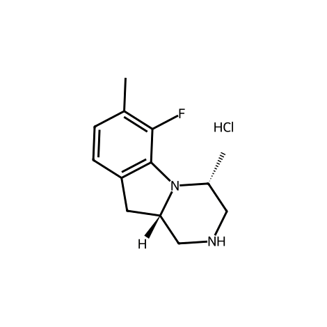 Cc1ccc2c(c1F)N1[C@H](CNC[C@H]1C)C2.Cl